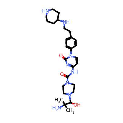 CC(C)(N)C(O)N1CCN(C(=O)Nc2ccn(-c3ccc(CCNC4CCCNCC4)cc3)c(=O)n2)CC1